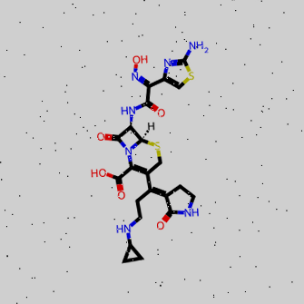 Nc1nc(C(=NO)C(=O)N[C@@H]2C(=O)N3C(C(=O)O)=C(C(CCNC4CC4)=C4CCNC4=O)CS[C@H]23)cs1